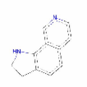 c1cc2ccc3c(c2cn1)NCC3